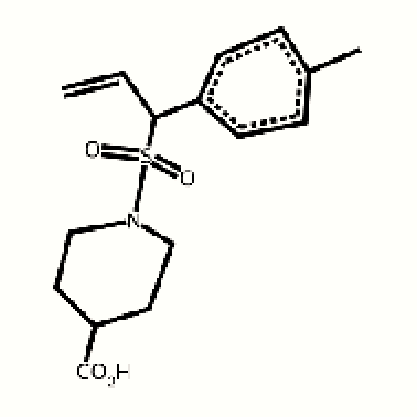 C=CC(c1ccc(C)cc1)S(=O)(=O)N1CCC(C(=O)O)CC1